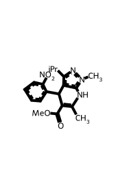 COC(=O)C1=C(C)Nc2c(c(C(C)C)nn2C)C1c1ccccc1[N+](=O)[O-]